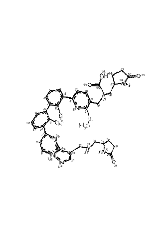 COc1nc(-c2cccc(-c3cccc(-c4ccn5ncc(CNCC6CCC(=O)N6)c5n4)c3Cl)c2Cl)ccc1CN(CC1CCC(=O)N1)C(=O)O